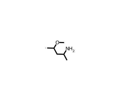 [CH2]C(CC(C)N)OC